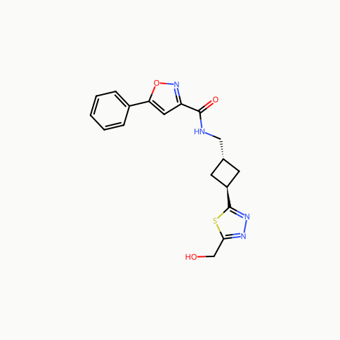 O=C(NC[C@H]1C[C@H](c2nnc(CO)s2)C1)c1cc(-c2ccccc2)on1